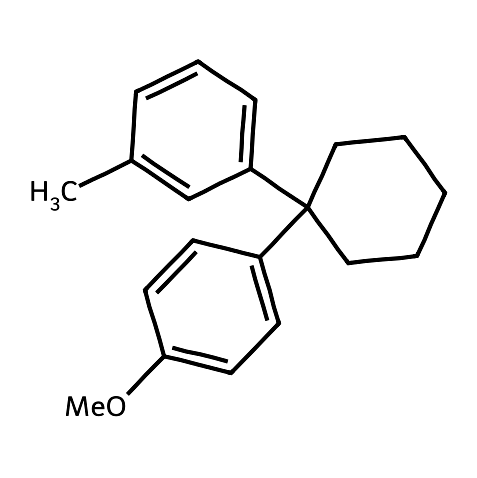 COc1ccc(C2(c3cccc(C)c3)CCCCC2)cc1